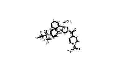 CC[C@]1(c2ccccc2)CN(C(=O)C2CCN(C(C)=O)CC2)C[C@H]1c1ccc(C(O)(C(F)(F)F)C(F)(F)F)cc1